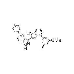 COc1cc(F)cc(-c2cccc3[nH]c(-c4n[nH]c5ccc(-c6ccncc6)nc45)cc23)c1